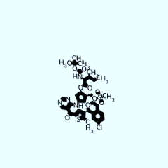 CC[C@H](C)[C@H](NC(=O)OC(C)(C)C)C(=O)O[C@H]1C[C@H](Nc2ncncc2C(=O)c2cc([C@@H]3OCCc4ccc(Cl)cc43)c(C)s2)C[C@@H]1COS(C)(=O)=O